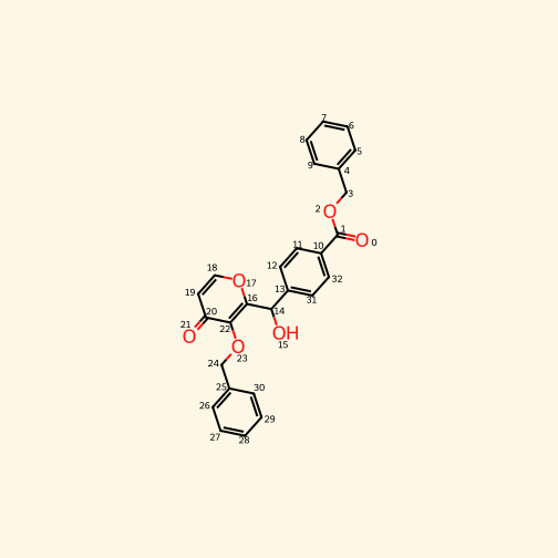 O=C(OCc1ccccc1)c1ccc(C(O)c2occc(=O)c2OCc2ccccc2)cc1